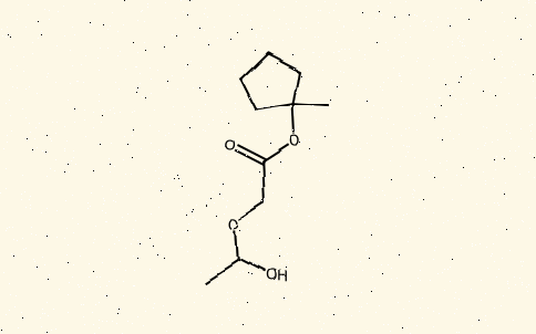 CC(O)OCC(=O)OC1(C)CCCC1